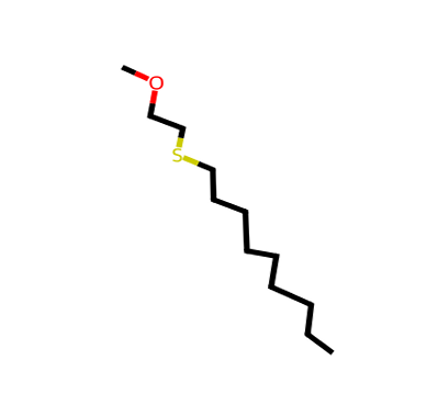 CCCCCCCCCSCCOC